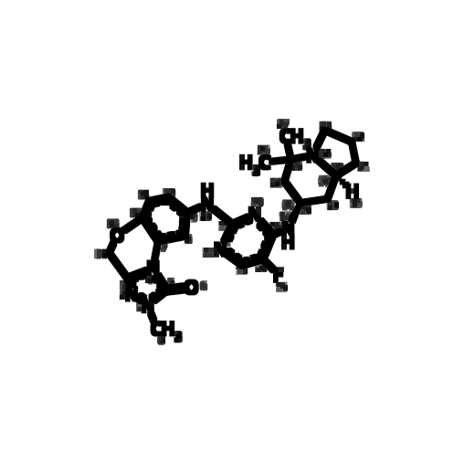 Cn1nc2n(c1=O)-c1cc(Nc3ncc(F)c(N[C@@H]4C[C@@H]5CCCN5C(C)(C)C4)n3)ccc1OC2